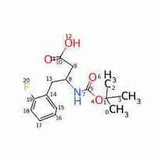 CC(C)(C)OC(=O)NC(CC(=O)O)Cc1ccccc1F